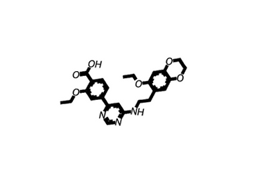 CCOc1cc2c(cc1CCNc1cc(-c3ccc(C(=O)O)c(OCC)c3)ncn1)OCCO2